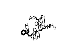 CC(=O)CC[C@@H](NC(=O)NC[C@H](CCCCN)NC(=O)NC[C@@H](C)Cc1c[nH]c2ccccc12)C(C)C